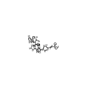 COC(=O)C#Cc1ccc(-c2cnc(C3CCCN3C(=O)[C@@H](NC(=O)OC)C(C)C)[nH]2)cc1